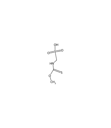 COC(=S)NCS(=O)(=O)O